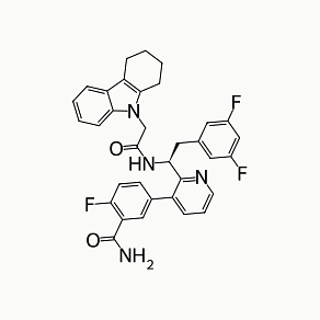 NC(=O)c1cc(-c2cccnc2[C@H](Cc2cc(F)cc(F)c2)NC(=O)Cn2c3c(c4ccccc42)CCCC3)ccc1F